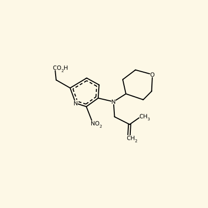 C=C(C)CN(c1ccc(CC(=O)O)nc1[N+](=O)[O-])C1CCOCC1